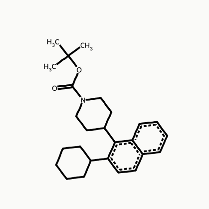 CC(C)(C)OC(=O)N1CCC(c2c(C3CCCCC3)ccc3ccccc23)CC1